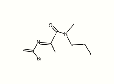 C=C(Br)/N=C(\C)C(=O)N(C)CCC